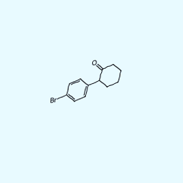 O=C1CCCCC1c1ccc(Br)cc1